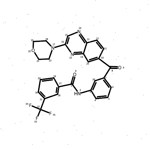 O=C(Nc1cccc(C(=O)c2ccc3ncc(N4CCOCC4)nc3c2)c1)c1cccc(C(F)(F)F)c1